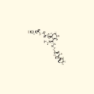 NC(CCCCc1ccc(-c2ccco2)cc1)c1ccccc1OCCCCCC(=O)O